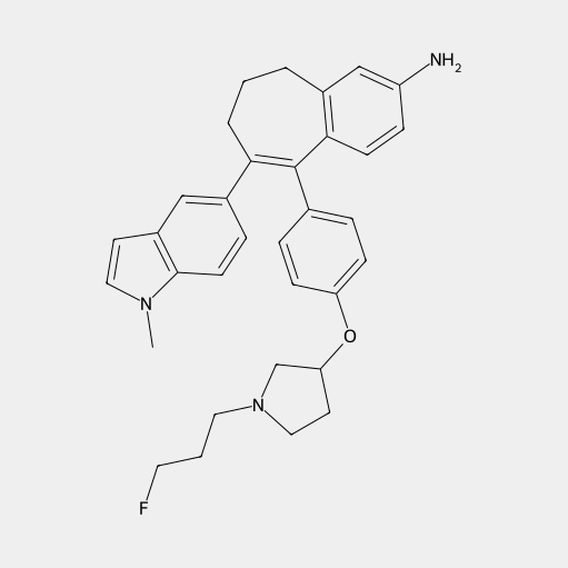 Cn1ccc2cc(C3=C(c4ccc(OC5CCN(CCCF)C5)cc4)c4ccc(N)cc4CCC3)ccc21